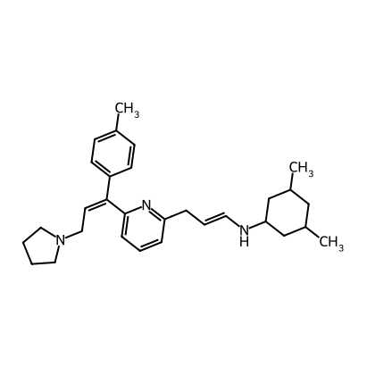 Cc1ccc(C(=CCN2CCCC2)c2cccc(CC=CNC3CC(C)CC(C)C3)n2)cc1